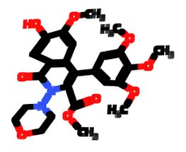 COC(=O)c1c(-c2cc(OC)c(OC)c(OC)c2)c2cc(OC)c(O)cc2c(=O)n1N1CCOCC1